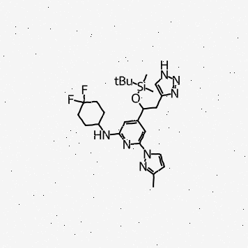 Cc1ccn(-c2cc(C(Cc3c[nH]nn3)O[Si](C)(C)C(C)(C)C)cc(NC3CCC(F)(F)CC3)n2)n1